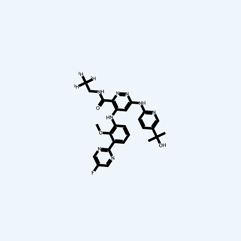 [2H]C([2H])([2H])CNC(=O)c1nnc(Nc2ccc(C(C)(C)O)cn2)cc1Nc1cccc(-c2ncc(F)cn2)c1OC